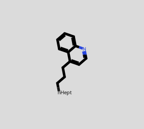 CCCCCCCCCCc1ccnc2ccccc12